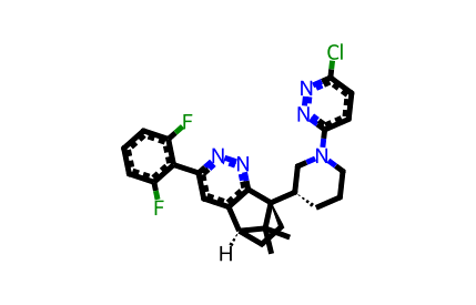 CC1(C)[C@H]2CC[C@]1([C@H]1CCCN(c3ccc(Cl)nn3)C1)c1nnc(-c3c(F)cccc3F)cc12